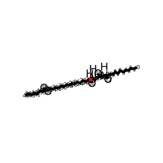 CCCCCCCCCCCC(=O)NCC(O)CNC(=O)CCCCCCCCCCCCCCCOC(=O)CCCCCCC